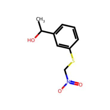 CC(O)c1cccc(SC[N+](=O)[O-])c1